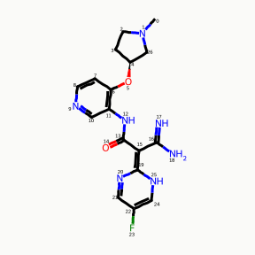 CN1CC[C@H](Oc2ccncc2NC(=O)/C(C(=N)N)=C2\N=CC(F)=CN2)C1